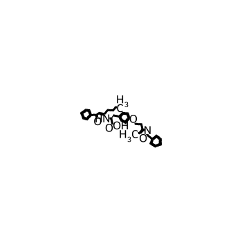 CCCC/C(=C/C(=O)c1ccccc1)N[C@@H](Cc1ccc(OCCc2nc(-c3ccccc3)oc2C)cc1)C(=O)O